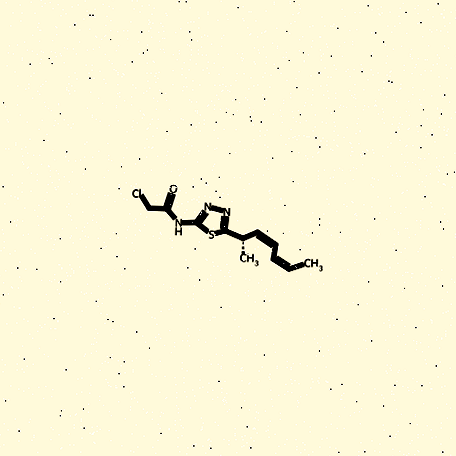 C/C=C\C=C/[C@H](C)c1nnc(NC(=O)CCl)s1